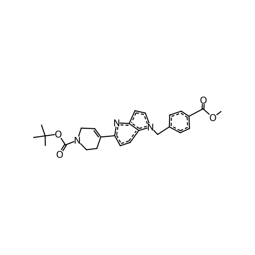 COC(=O)c1ccc(Cn2ccc3nc(C4=CCN(C(=O)OC(C)(C)C)CC4)ccc32)cc1